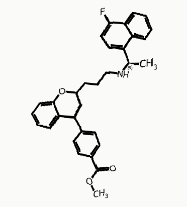 COC(=O)c1ccc(C2CC(CCCN[C@H](C)c3ccc(F)c4ccccc34)Oc3ccccc32)cc1